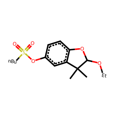 CCCCS(=O)(=O)Oc1ccc2c(c1)C(C)(C)C(OCC)O2